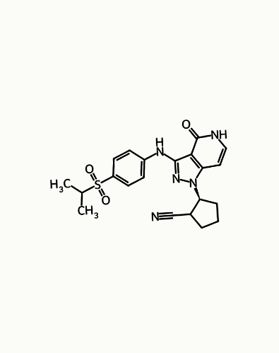 CC(C)S(=O)(=O)c1ccc(Nc2nn([C@H]3CCCC3C#N)c3cc[nH]c(=O)c23)cc1